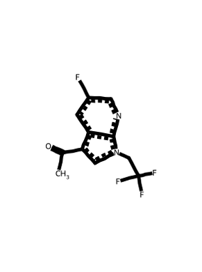 CC(=O)c1cn(CC(F)(F)F)c2ncc(F)cc12